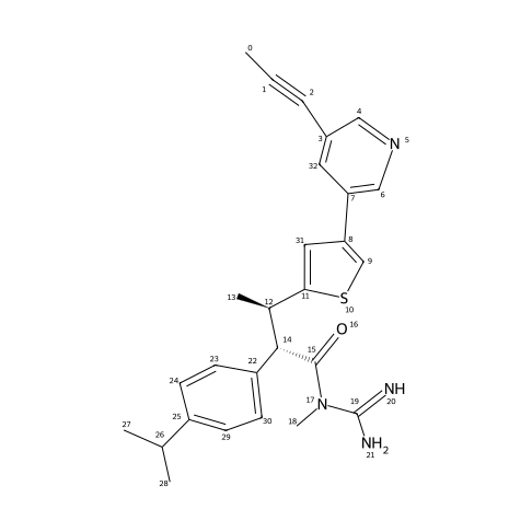 CC#Cc1cncc(-c2csc([C@H](C)[C@H](C(=O)N(C)C(=N)N)c3ccc(C(C)C)cc3)c2)c1